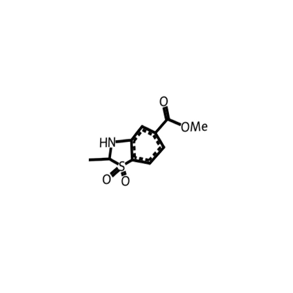 COC(=O)c1ccc2c(c1)NC(C)S2(=O)=O